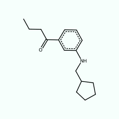 CCCC(=O)c1cccc(NCC2CCCC2)c1